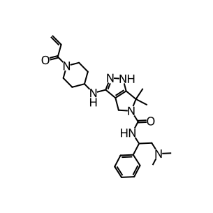 C=CC(=O)N1CCC(Nc2n[nH]c3c2CN(C(=O)NC(CN(C)C)c2ccccc2)C3(C)C)CC1